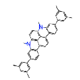 Cc1cc(C)cc(-c2ccc3c(c2)N(C)c2ccc4c5c(ccc-3c25)-c2ccc(-c3cc(C)cc(C)c3)cc2N4C)c1